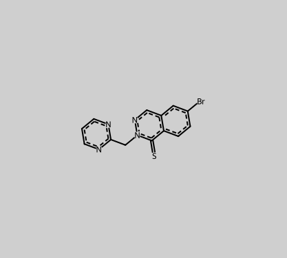 S=c1c2ccc(Br)cc2cnn1Cc1ncccn1